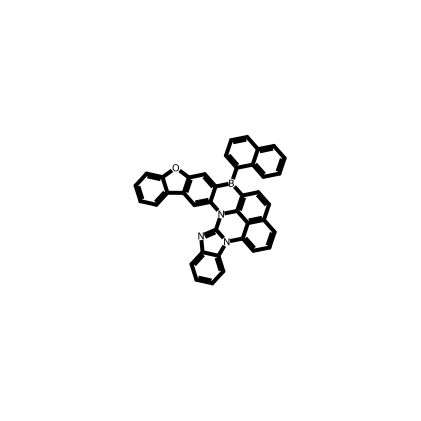 c1ccc2c(B3c4cc5oc6ccccc6c5cc4-n4c5c3ccc3cccc(c35)n3c5ccccc5nc43)cccc2c1